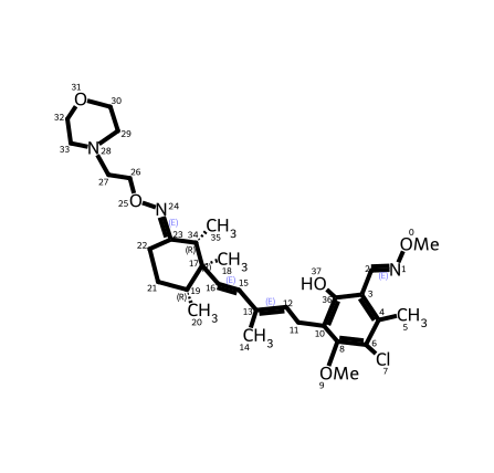 CO/N=C/c1c(C)c(Cl)c(OC)c(C/C=C(C)/C=C/[C@@]2(C)[C@H](C)CC/C(=N\OCCN3CCOCC3)[C@@H]2C)c1O